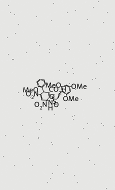 COc1cc(OC)c(/C=C/S(=O)(=O)NC2([N+](=O)[O-])C=C(C(=O)O)C(c3ccccc3OC)C([N+](=O)[O-])=C2)c(OC)c1